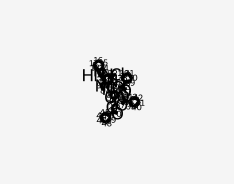 O=C(OC[C@H]1O[C@@H](n2cnc3c(NN4CCCCC4)nc(Cl)nc32)[C@H](OC(=O)c2ccccc2)[C@@H]1OC(=O)c1ccccc1)c1ccccc1